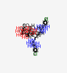 CC(=O)O.CC(=O)O.N=C(NCCCCCCNC(=N)NC(=N)Nc1ccc(Cl)cc1)NC(=N)Nc1ccc(Cl)cc1.O=C(O)[C@H](O)[C@@H](O)[C@H](O)[C@H](O)CO.O=C(O)[C@H](O)[C@@H](O)[C@H](O)[C@H](O)CO